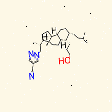 CC(C)CC[C@H]1CC[C@@H]2[C@H](CC[C@]3(C)C([C@@H](C)Cn4cc(C#N)cn4)CC[C@@H]23)[C@H]1CCCO